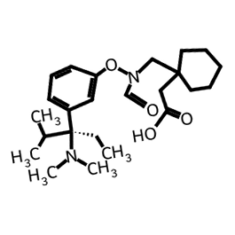 CC[C@@](c1cccc(ON(C=O)CC2(CC(=O)O)CCCCC2)c1)(C(C)C)N(C)C